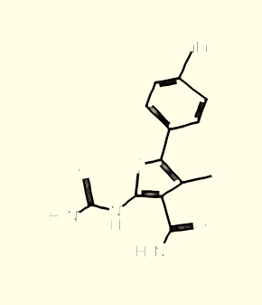 Cc1c(-c2ccc(C(C)C)cc2)sc(NC(N)=O)c1C(N)=O